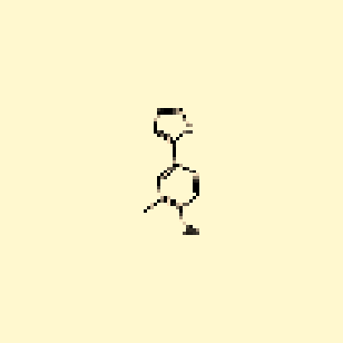 Cc1cc(-c2ccco2)ccc1C(C)(C)C